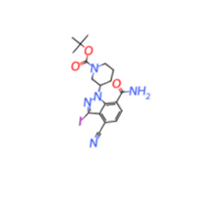 CC(C)(C)OC(=O)N1CCC[C@@H](n2nc(I)c3c(C#N)ccc(C(N)=O)c32)C1